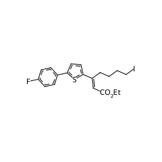 CCOC(=O)C=C(CCCCI)c1ccc(-c2ccc(F)cc2)s1